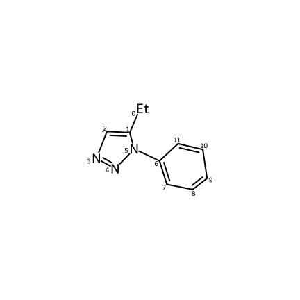 CCc1[c]nnn1-c1ccccc1